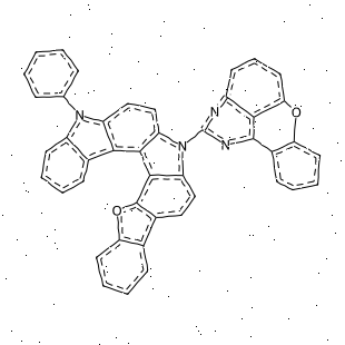 c1ccc(-n2c3ccccc3c3c4c5c6oc7ccccc7c6ccc5n(-c5nc6c7c(cccc7n5)Oc5ccccc5-6)c4ccc32)cc1